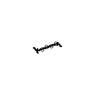 CCCC(C)(CC)CCOCCOCCOCCOC(C)(C)CCC